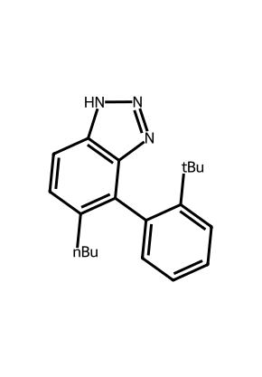 CCCCc1ccc2[nH]nnc2c1-c1ccccc1C(C)(C)C